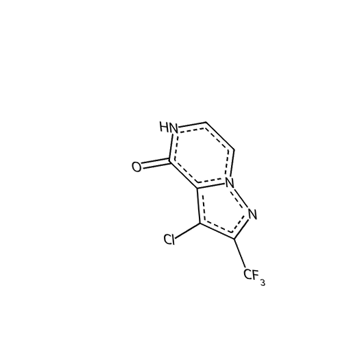 O=c1[nH]ccn2nc(C(F)(F)F)c(Cl)c12